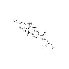 CC1(C)C2=C(C(=O)c3ccc(C(=O)NC[C@@H](O)CO)cc31)[C@H]1C=CC(C#N)=CC1N2